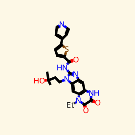 CCn1c(=O)c(=O)[nH]c2cc3nc(NC(=O)c4ccc(-c5ccncc5)s4)n(CCC(C)(C)O)c3cc21